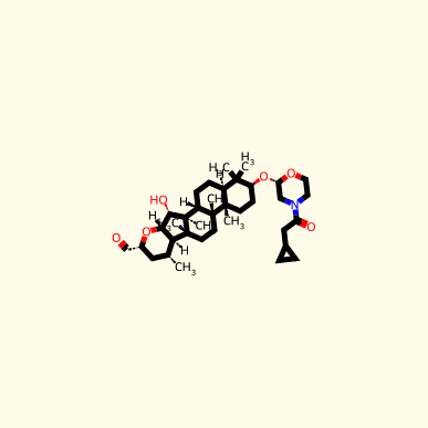 C[C@@H]1C[C@H](C=O)O[C@H]2[C@H]1[C@@]1(C)CC[C@]3(C)[C@@H](CC[C@H]4C(C)(C)[C@@H](O[C@H]5CN(C(=O)CC6CC6)CCO5)CC[C@@]43C)[C@]1(C)[C@H]2O